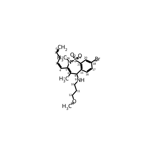 C=CC/C=C\C1=C(C)C(NCCCOC)c2ccc(Br)cc2S(=O)(=O)N1C